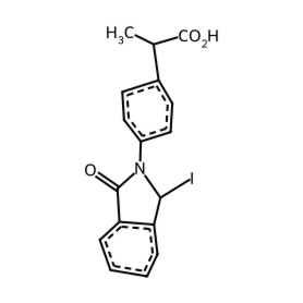 CC(C(=O)O)c1ccc(N2C(=O)c3ccccc3C2I)cc1